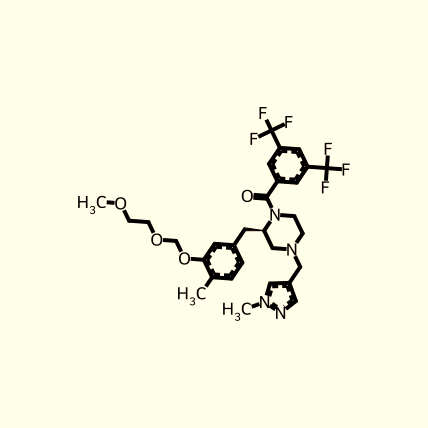 COCCOCOc1cc(C[C@@H]2CN(Cc3cnn(C)c3)CCN2C(=O)c2cc(C(F)(F)F)cc(C(F)(F)F)c2)ccc1C